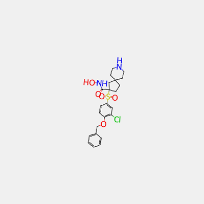 O=C(NO)C1(S(=O)(=O)c2ccc(OCc3ccccc3)c(Cl)c2)CCC2(CCNCC2)C1